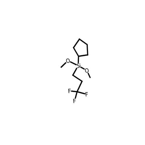 CO[Si](CCC(F)(F)F)(OC)C1CCCC1